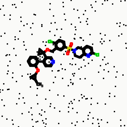 CC1CC1Oc1ccccc1-c1ccncc1C1(OCc2cc(S(=O)(=O)N3CCc4nc(Cl)ccc4C3)ccc2Cl)CC1